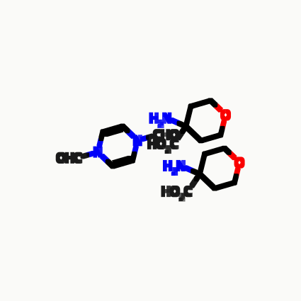 NC1(C(=O)O)CCOCC1.NC1(C(=O)O)CCOCC1.O=CN1C=CN(C=O)C=C1